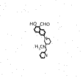 CN(Cc1ccccn1)C1CCCN(c2ccc3c(C=O)c(O)ccc3c2)C1